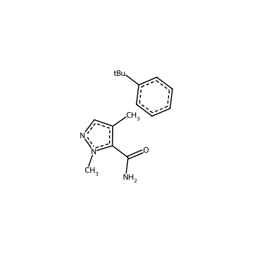 CC(C)(C)c1ccccc1.Cc1cnn(C)c1C(N)=O